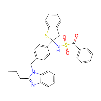 CCCc1nc2ccccc2n1Cc1ccc(C2(NS(=O)(=O)C(=O)c3ccccc3)Cc3ccccc3S2)cc1